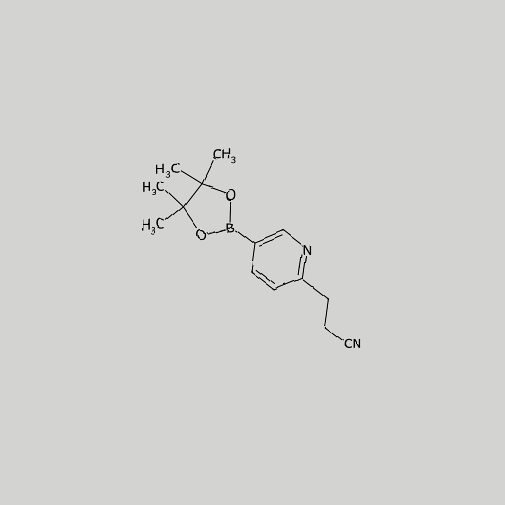 CC1(C)OB(c2ccc(CCC#N)nc2)OC1(C)C